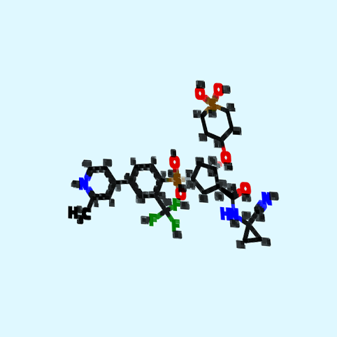 Cc1cc(-c2ccc(S(=O)(=O)[C@@H]3C[C@H](OC4CCS(=O)(=O)CC4)[C@@H](C(=O)NC4(C#N)CC4)C3)c(C(F)(F)F)c2)ccn1